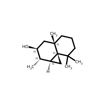 C[C@@H]1[C@@H](O)C[C@]2(C)CCCC(C)(C)[C@@]23C[C@@H]13